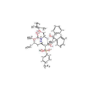 CCCCCCCCCCCCC[C@@H](C(=O)[C@@H](O[Si](c1ccccc1)(c1ccccc1)C(C)(C)C)[C@H](CO[Si](C(C)C)(C(C)C)C(C)C)NC(=O)OC(C)(C)C)S(=O)(=O)c1ccc(C)cc1